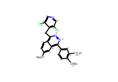 COc1ccc2c(Cc3c(Cl)cncc3Cl)nnc(-c3ccc(OC)c(C(=O)O)c3)c2c1